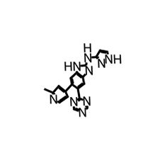 Cc1cc(-c2cc3[nH]c(Nc4cc[nH]n4)nc3cc2-c2ncncn2)ccn1